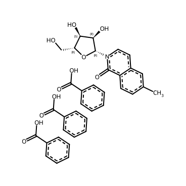 Cc1ccc2c(=O)n([C@@H]3O[C@H](CO)[C@@H](O)[C@H]3O)ccc2c1.O=C(O)c1ccccc1.O=C(O)c1ccccc1.O=C(O)c1ccccc1